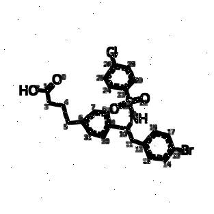 O=C(O)CCCc1ccc(C(Cc2ccc(Br)cc2)NS(=O)(=O)c2ccc(Cl)cc2)cc1